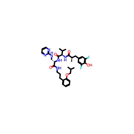 CC(C)COc1ccccc1CCCNC(=O)[C@H](CNc1ncccn1)NC(=O)[C@H](NC(=O)[C@H](C)Cc1cc(F)c(O)c(F)c1)C(C)C